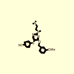 COc1cccc(COc2nc(N(C)CCN(C)C)ncc2Sc2ccc(C#N)cc2)c1